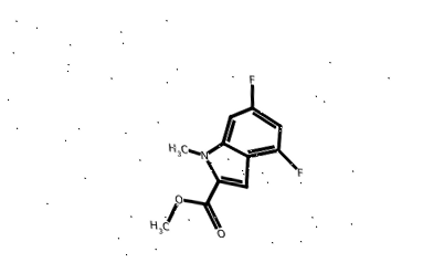 COC(=O)c1cc2c(F)cc(F)cc2n1C